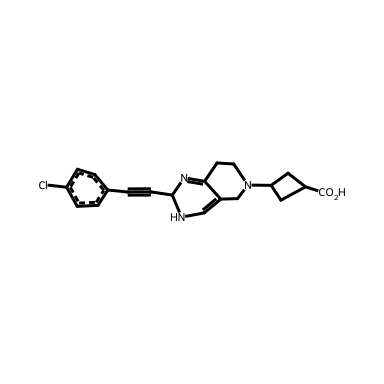 O=C(O)C1CC(N2CCC3=NC(C#Cc4ccc(Cl)cc4)NC=C3C2)C1